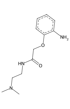 CN(C)CCNC(=O)COc1ccccc1N